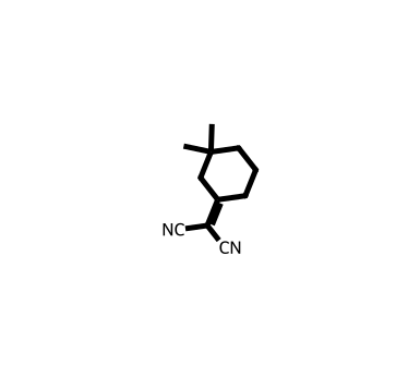 CC1(C)CCCC(=C(C#N)C#N)C1